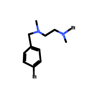 CCc1ccc(CN(C)CCN(C)CC)cc1